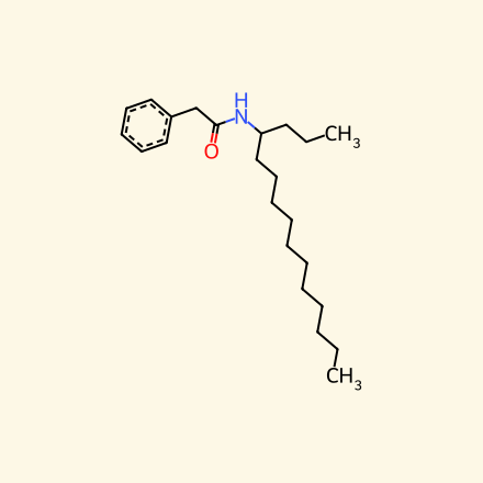 CCCCCCCCCCCC(CCC)NC(=O)Cc1ccccc1